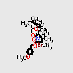 COc1ccc(COC(=O)C2(Br)C(C)[C@H](C)[C@@H]3[C@@H](C(C)O[SiH2]C(C)(C)C(C)C)C(=O)N32)cc1